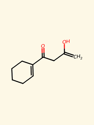 C=C(O)CC(=O)C1=CCCCC1